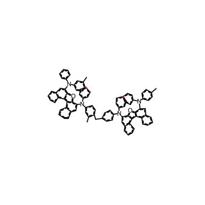 Cc1ccc(N(c2ccccc2)c2cc3ccccc3c3c2oc2c(N(c4ccccc4)c4ccc(Cc5ccc(N(c6ccccc6)c6cc7ccccc7c7c6oc6c(N(c8ccccc8)c8cccc(C)c8)cc8ccccc8c67)cc5C)cc4)cc4ccccc4c23)cc1